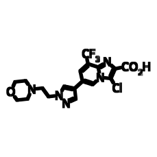 O=C(O)c1nc2c(C(F)(F)F)cc(-c3cnn(CCN4CCOCC4)c3)cn2c1Cl